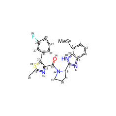 CSc1cccc2nc(C3CCCN3C(=O)c3nc(C)sc3-c3cccc(F)c3)[nH]c12